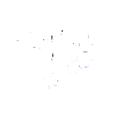 CC(O)CN1C[C@H]2C[C@@H](Nc3c(C(N)=O)cnn4cc(-c5cnn(C)c5)cc34)[C@H](C)[C@H]2C1